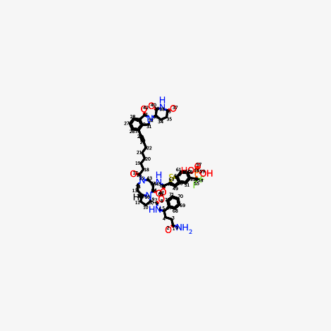 NC(=O)CCC(NC(=O)[C@@H]1CC[C@@H]2CCN(C(=O)CCCCCC#Cc3cccc4c3CN(C3CCC(=O)NC3=O)C4=O)C[C@H](NC(=O)c3cc4cc(C(F)(F)P(=O)(O)O)ccc4s3)C(=O)N21)c1ccccc1